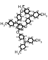 Cc1ccc(N(c2ccc(C)cc2)c2ccc(Oc3nc(Oc4ccc(N(c5ccc(C)cc5)c5ccc(C)cc5)cc4)nc(N(c4ccc(C)cc4)c4ccc(C)cc4)n3)cc2)cc1